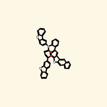 c1ccc(N(c2ccc(-c3ccc4c(c3)oc3ccccc34)cc2)c2ccc3oc4ccccc4c3c2)c(-c2ccc3oc4cc5ccccc5cc4c3c2)c1